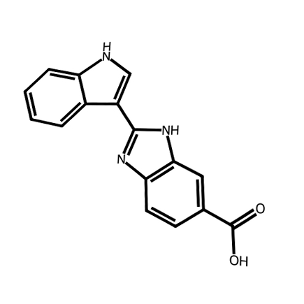 O=C(O)c1ccc2nc(-c3c[nH]c4ccccc34)[nH]c2c1